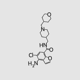 Nc1c(Cl)cc(C(=O)NCC2CCN(CC3CCOCC3)CC2)c2occc12